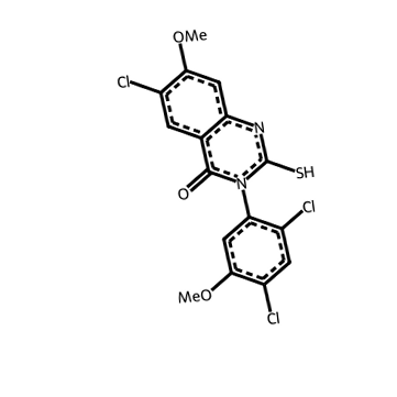 COc1cc(-n2c(S)nc3cc(OC)c(Cl)cc3c2=O)c(Cl)cc1Cl